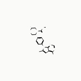 C[C@H]1CN(C(=O)OC(C)(C)C)[C@@H](c2ccc(-n3c(Cl)cc4c(Cl)ncnc43)cc2)CO1